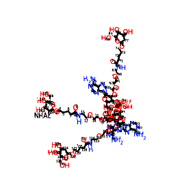 CC(=O)N[C@H]1[C@H](OCCCCC(=O)NCCOCCOCO[C@H]2[C@H](n3cnc4c(N)ncnc43)O[C@H](COP(=O)(O)O)[C@]2(C)P(=O)(O)OC[C@H]2O[C@@H](n3cnc4c(N)ncnc43)[C@H](OCOCCOCCNC(=O)CCCCO[C@H]3C[C@@H](O)[C@@H](O)[C@@H](CO)O3)[C@@H]2OP(=O)(O)OC[C@H]2O[C@@H](n3cnc4c(N)ncnc43)[C@H](OCOCCOCCNC(=O)CCCCO[C@H]3C[C@@H](O)[C@@H](O)[C@@H](CO)O3)[C@@H]2OC(C)C)O[C@H](CO)[C@H](O)[C@@H]1O